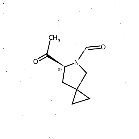 CC(=O)[C@@H]1CC2(CC2)CN1C=O